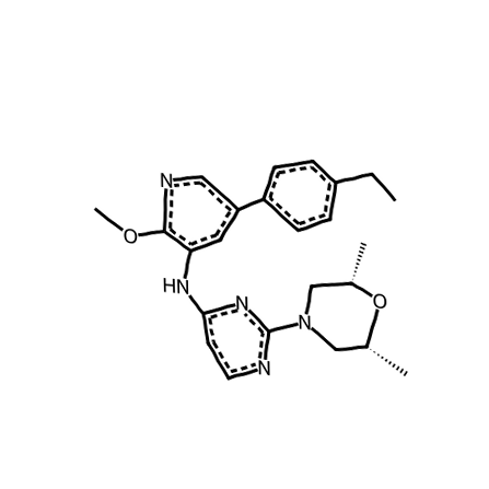 CCc1ccc(-c2cnc(OC)c(Nc3ccnc(N4C[C@@H](C)O[C@@H](C)C4)n3)c2)cc1